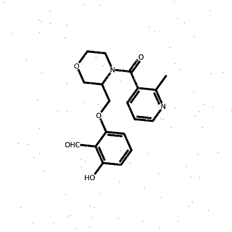 Cc1ncccc1C(=O)N1CCOCC1COc1cccc(O)c1C=O